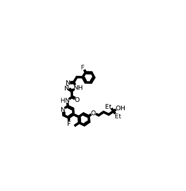 CCC(O)(CC)CCCOc1ccc(C)c(-c2cc(NC(=O)c3nnc(Cc4ccccc4F)[nH]3)ncc2F)c1